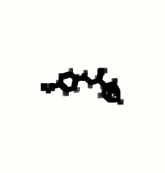 Cc1ccc(SCC(=O)C23CC4CC(C4)(C2)C3)cc1